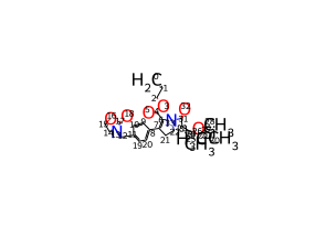 C=CCOC(=O)C1=C(c2ccc(CN3CCOC3=O)cc2)CC2[C@@H]([C@@H](C)O[Si](C)(C)C)C(=O)N12